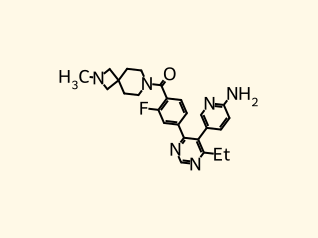 CCc1ncnc(-c2ccc(C(=O)N3CCC4(CC3)CN(C)C4)c(F)c2)c1-c1ccc(N)nc1